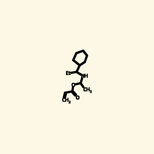 C=CC(=O)OC(C)NC(CC)C1CCCCC1